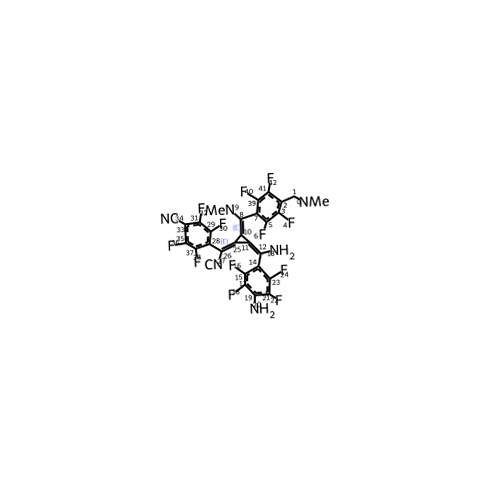 CNCc1c(F)c(F)c(/C(NC)=C2\C(=C(N)c3c(F)c(F)c(N)c(F)c3F)\C2=C(/C#N)c2c(F)c(F)c(C#N)c(F)c2F)c(F)c1F